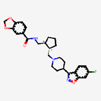 O=C(NC[C@H]1CCC[C@@H]1CN1CCC(c2noc3cc(F)ccc23)CC1)c1ccc2c(c1)OCO2